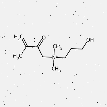 C=C(C)C(=O)C[N+](C)(C)CCCO